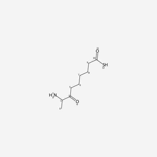 CC(N)C(=O)CCCCCC(=O)S